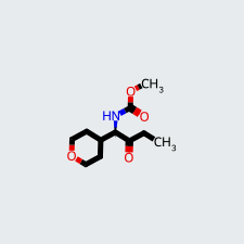 CCC(=O)[C@H](NC(=O)OC)C1CCOCC1